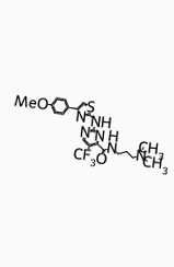 COc1ccc(-c2csc(Nc3ncc(C(F)(F)F)c(C(=O)NCCCN(C)C)n3)n2)cc1